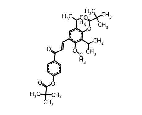 COc1c(/C=C/C(=O)c2ccc(OC(=O)C(C)(C)C)cc2)cc(C(C)C)c(OC(=O)C(C)(C)C)c1C(C)C